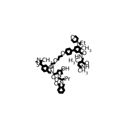 CCN(c1cc(-c2ccc(OCCCOCCOc3cc(-c4scnc4C)ccc3CNC(=O)C3C[C@@H](O)CN3C(=O)C(C(C)C)N3Cc4ccccc4C3=O)cc2)cc(C(=O)NCc2c(C)cc(C)[nH]c2=O)c1C)C1CCOCC1